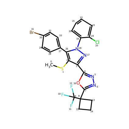 CSc1c(-c2nnc(C3(C(F)(F)F)CCC3)o2)nn(-c2ccccc2Cl)c1-c1ccc(Br)cc1